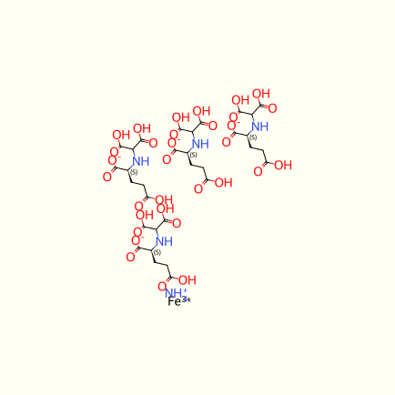 O=C(O)CC[C@H](NC(C(=O)O)C(=O)O)C(=O)[O-].O=C(O)CC[C@H](NC(C(=O)O)C(=O)O)C(=O)[O-].O=C(O)CC[C@H](NC(C(=O)O)C(=O)O)C(=O)[O-].O=C(O)CC[C@H](NC(C(=O)O)C(=O)O)C(=O)[O-].[Fe+3].[NH4+]